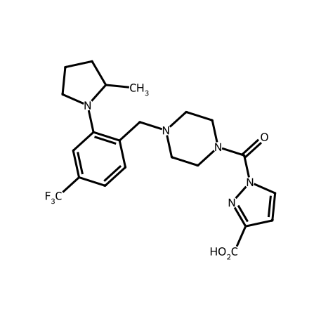 CC1CCCN1c1cc(C(F)(F)F)ccc1CN1CCN(C(=O)n2ccc(C(=O)O)n2)CC1